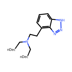 CCCCCCCCCCCN(CCCCCCCCCCC)CCc1cccc2[nH]nnc12